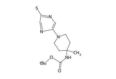 CC1(NC(=O)OC(C)(C)C)CCN(c2cnc([S])cn2)CC1